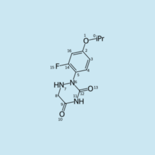 CC(C)Oc1ccc(N2NCC(=O)NC2=O)c(F)c1